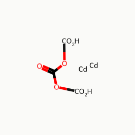 O=C(O)OC(=O)OC(=O)O.[Cd].[Cd]